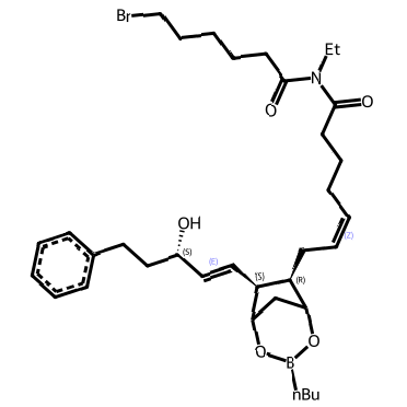 CCCCB1OC2CC(O1)[C@H](C/C=C\CCCC(=O)N(CC)C(=O)CCCCCBr)[C@@H]2/C=C/[C@@H](O)CCc1ccccc1